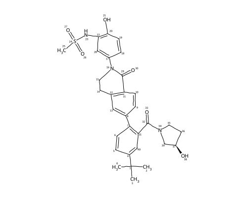 CC(C)(C)c1ccc(-c2ccc3c(c2)CCN(c2ccc(O)c(NS(C)(=O)=O)c2)C3=O)c(C(=O)N2CC[C@@H](O)C2)c1